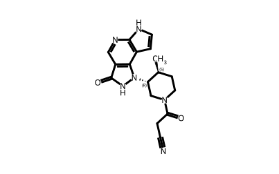 C[C@H]1CCN(C(=O)CC#N)C[C@@H]1n1[nH]c(=O)c2cnc3[nH]ccc3c21